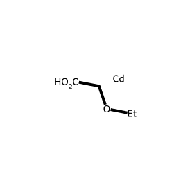 CCOCC(=O)O.[Cd]